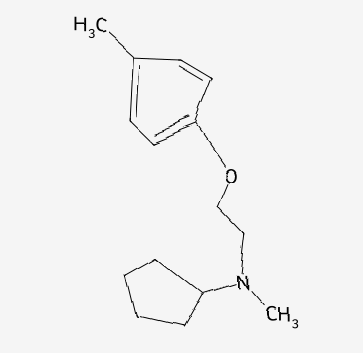 Cc1ccc(OCCN(C)C2CCCC2)cc1